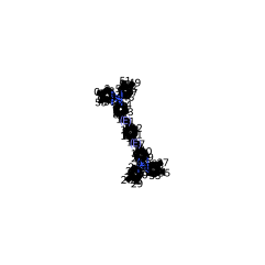 Cc1ccc(N(c2ccc(/C=C/c3ccc(/C=C/c4ccc(N(c5ccc(C)c(C)c5)c5ccc(C)c(C)c5)cc4)cc3)cc2)c2ccc(C)c(C)c2)cc1C